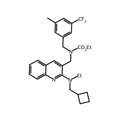 CCOC(=O)N(Cc1cc(C)cc(C(F)(F)F)c1)Cc1cc2ccccc2nc1N(CC)CC1CCC1